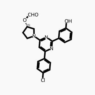 O=CO[C@H]1CCN(c2cc(-c3ccc(Cl)cc3)nc(-c3cccc(O)c3)n2)C1